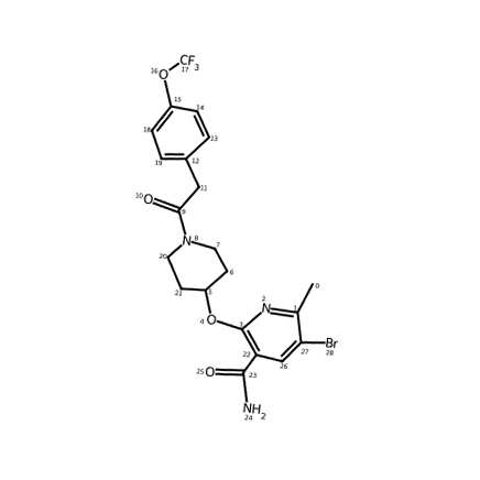 Cc1nc(OC2CCN(C(=O)Cc3ccc(OC(F)(F)F)cc3)CC2)c(C(N)=O)cc1Br